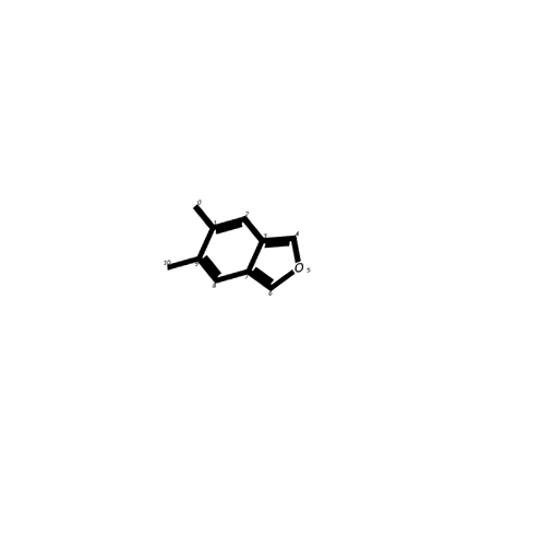 Cc1cc2cocc2cc1C